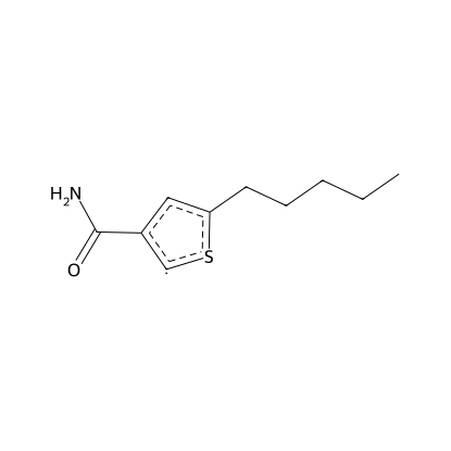 CCCCCc1cc(C(N)=O)[c]s1